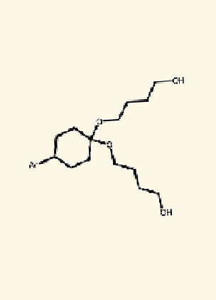 CC(=O)C1CCC(OCCCCO)(OCCCCO)CC1